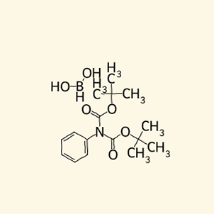 CC(C)(C)OC(=O)N(C(=O)OC(C)(C)C)c1ccccc1.OBO